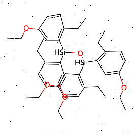 CCOc1ccc(CC)c([SiH](O[SiH](c2cc(OCC)ccc2CC)c2cc(OCC)ccc2CC)c2cc(OCC)ccc2CC)c1